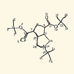 CC(C)(C)OC(=O)C1CC(C(=O)OC(C)(C)C)C2CN(C(C)(C)C)CC12